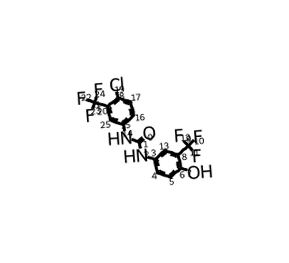 O=C(Nc1ccc(O)c(C(F)(F)F)c1)Nc1ccc(Cl)c(C(F)(F)F)c1